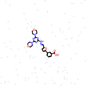 O=C(O)c1cccc(-c2ccc(/C=N/Nc3nc(N4CCOCC4)nc(N4CCOCC4)n3)o2)c1